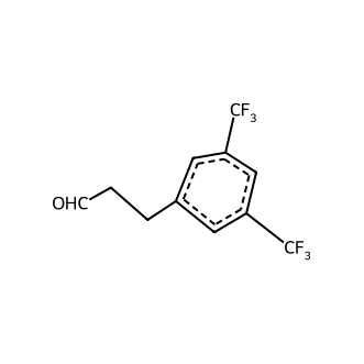 O=CCCc1cc(C(F)(F)F)cc(C(F)(F)F)c1